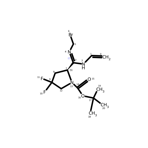 C=CN/C(=N\CBr)[C@@H]1CC(F)(F)CN1C(=O)OC(C)(C)C